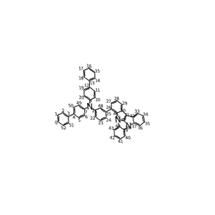 c1ccc(-c2ccc(N(c3ccc(-c4ccccc4)cc3)c3cccc(-c4cccc5c6c7ccccc7n7c8ccccc8n(c45)c67)c3)cc2)cc1